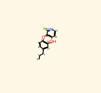 CCCc1ccc(Oc2cccnc2F)c(O)c1